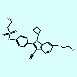 CCCS(=O)(=O)Nc1ccc(-c2c(C#N)c3ccc(OCCO)cc3n2C2CCC2)cc1